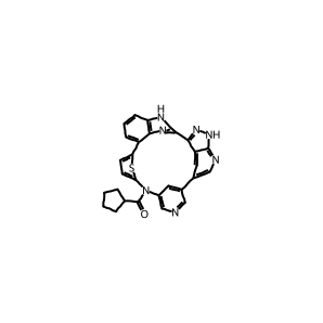 O=C(C1CCCC1)n1c2cncc(c2)c2cnc3[nH]nc(c4nc5c(cccc5c5ccc1s5)[nH]4)c3c2